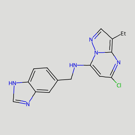 CCc1cnn2c(NCc3ccc4[nH]cnc4c3)cc(Cl)nc12